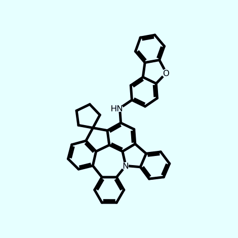 c1ccc2c(c1)-c1cccc3c1-c1c(c(Nc4ccc5oc6ccccc6c5c4)cc4c5ccccc5n-2c14)C31CCCC1